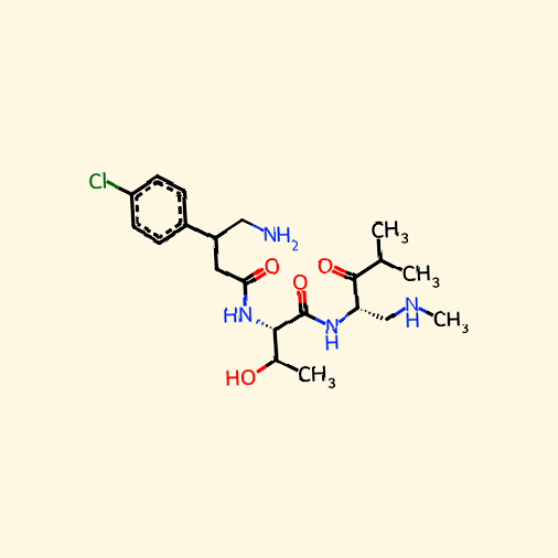 CNC[C@H](NC(=O)[C@@H](NC(=O)CC(CN)c1ccc(Cl)cc1)C(C)O)C(=O)C(C)C